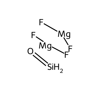 O=[SiH2].[F][Mg][F].[F][Mg][F]